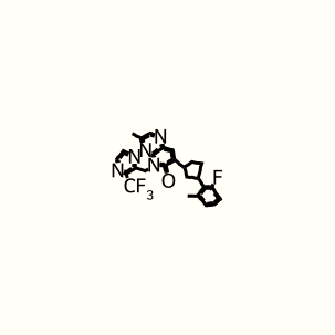 Cc1cnc2cc(C3CCC(c4c(C)cccc4F)C3)c(=O)n(Cc3nccnc3C(F)(F)F)c2n1